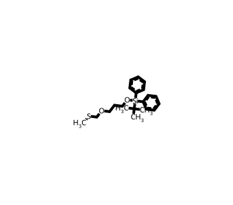 CSCOCCCO[Si](c1ccccc1)(c1ccccc1)C(C)(C)C